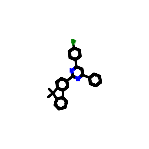 CC1(C)c2ccccc2-c2cc(-c3nc(-c4ccccc4)cc(-c4ccc(Br)cc4)n3)ccc21